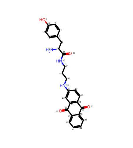 N[C@@H](Cc1ccc(O)cc1)C(=O)NCCCNc1ccc2c(c1)C(=O)c1ccccc1C2=O